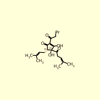 CC(C)=CCC(=O)[C@@]1(O)C(O)=C(C(=O)CC(C)C)C(=O)[C@H]1CC=C(C)C